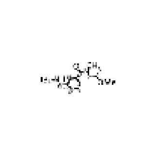 COCCN(C)C(=O)c1cccc(CNC(C)(C)C)c1